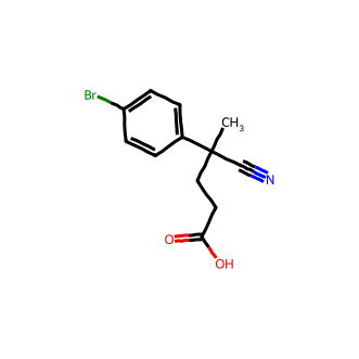 CC(C#N)(CCC(=O)O)c1ccc(Br)cc1